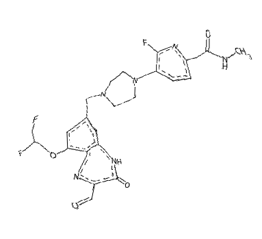 CNC(=O)c1ccc(N2CCN(Cc3cc(OC(F)F)c4nc(C=O)c(=O)[nH]c4c3)CC2)c(F)n1